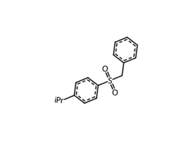 CC(C)c1ccc(S(=O)(=O)Cc2ccccc2)cc1